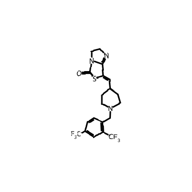 O=c1sc(=CC2CCN(Cc3ccc(C(F)(F)F)cc3C(F)(F)F)CC2)c2n1CCN=2